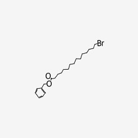 O=C(CCCCCCCCCCCCCCBr)OCc1ccccc1